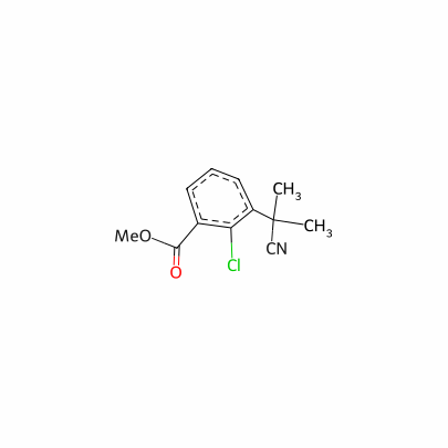 COC(=O)c1cccc(C(C)(C)C#N)c1Cl